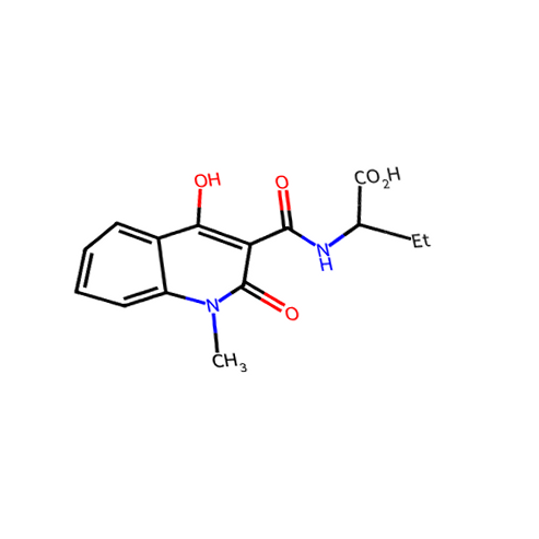 CCC(NC(=O)c1c(O)c2ccccc2n(C)c1=O)C(=O)O